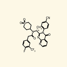 C[C@H](c1nc2ncccc2c(=O)n1-c1ccc(C#N)cc1)N(C(=O)Cc1ccc(F)c(C(F)(F)F)c1)C1CCS(=O)(=O)CC1